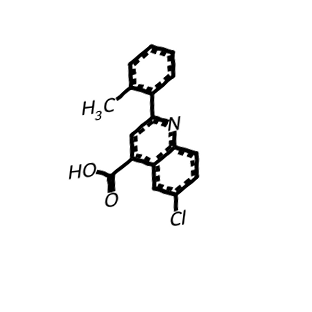 Cc1ccccc1-c1cc(C(=O)O)c2cc(Cl)ccc2n1